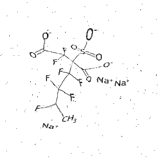 CC(F)C(F)(F)C(F)(F)C(C(=O)[O-])(C(F)(F)C(=O)[O-])S(=O)(=O)[O-].[Na+].[Na+].[Na+]